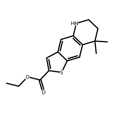 CCOC(=O)c1cc2cc3c(cc2s1)C(C)(C)CCN3